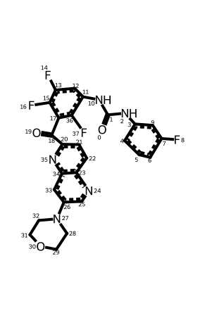 O=C(Nc1cccc(F)c1)Nc1cc(F)c(F)c(C(=O)c2ccc3ncc(N4CCOCC4)cc3n2)c1F